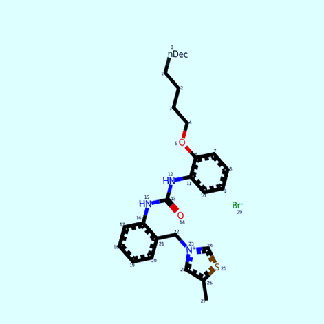 CCCCCCCCCCCCCCOc1ccccc1NC(=O)Nc1ccccc1C[n+]1csc(C)c1.[Br-]